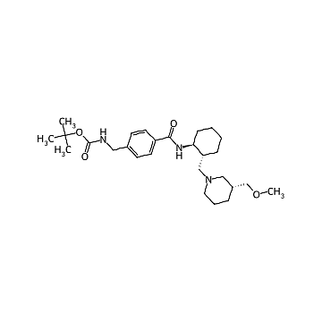 COC[C@@H]1CCCN(C[C@H]2CCCC[C@@H]2NC(=O)c2ccc(CNC(=O)OC(C)(C)C)cc2)C1